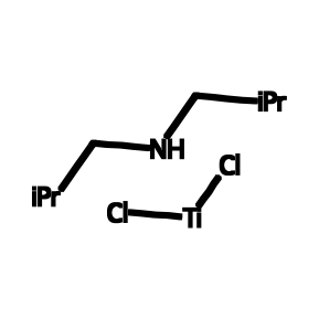 CC(C)CNCC(C)C.[Cl][Ti][Cl]